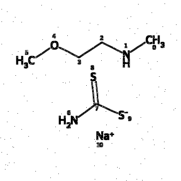 CNCCOC.NC(=S)[S-].[Na+]